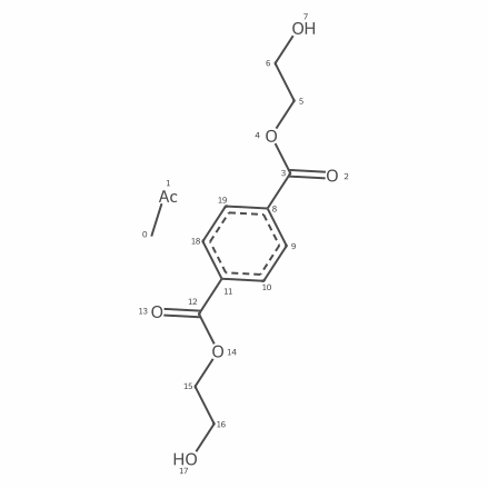 CC(C)=O.O=C(OCCO)c1ccc(C(=O)OCCO)cc1